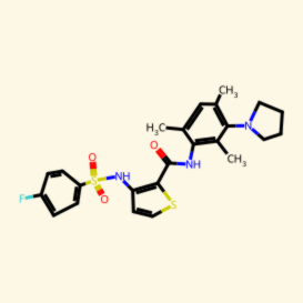 Cc1cc(C)c(N2CCCC2)c(C)c1NC(=O)c1sccc1NS(=O)(=O)c1ccc(F)cc1